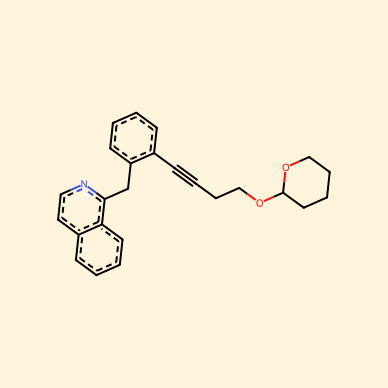 C(#Cc1ccccc1Cc1nccc2ccccc12)CCOC1CCCCO1